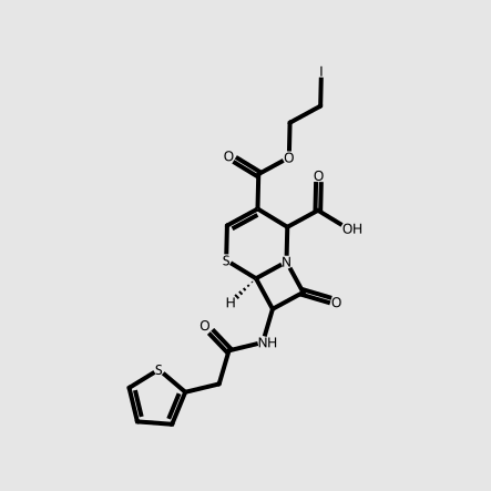 O=C(Cc1cccs1)NC1C(=O)N2C(C(=O)O)C(C(=O)OCCI)=CS[C@H]12